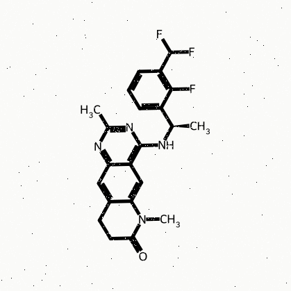 Cc1nc(N[C@H](C)c2cccc(C(F)F)c2F)c2cc3c(cc2n1)CCC(=O)N3C